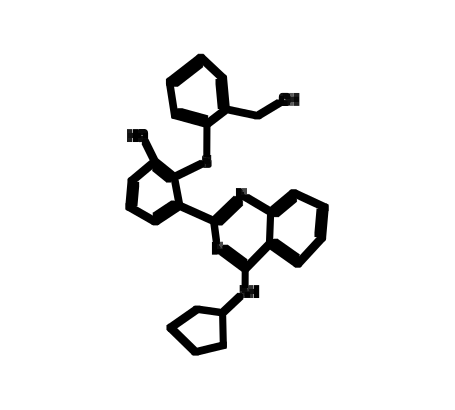 OCc1ccccc1Sc1c(O)cccc1-c1nc(NC2CCCC2)c2ccccc2n1